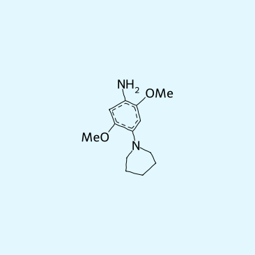 COc1cc(N2CCCCC2)c(OC)cc1N